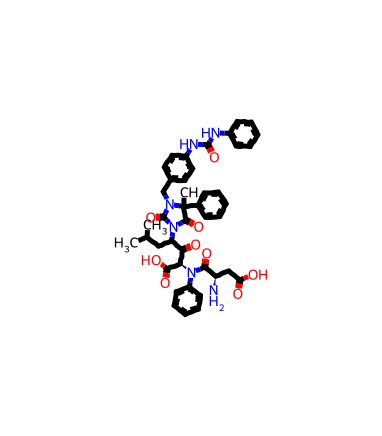 CC(C)CC(C(=O)[C@@H](C(=O)O)N(C(=O)[C@@H](N)CC(=O)O)c1ccccc1)N1C(=O)N(Cc2ccc(NC(=O)Nc3ccccc3)cc2)C(C)(c2ccccc2)C1=O